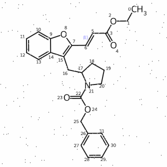 CCOC(=O)/C=C/c1oc2ccccc2c1CC1CCCN1C(=O)OCc1ccccc1